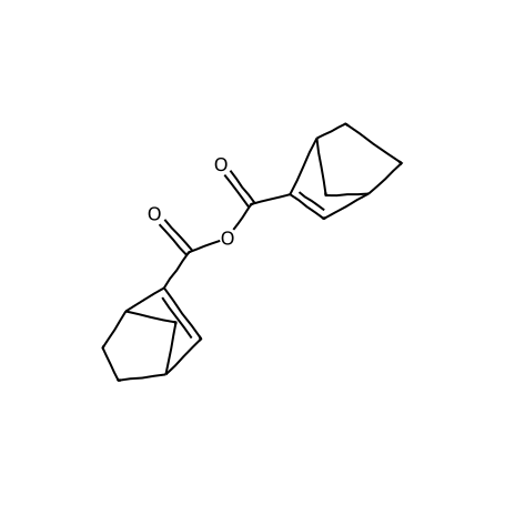 O=C(OC(=O)C1=CC2CCC1C2)C1=CC2CCC1C2